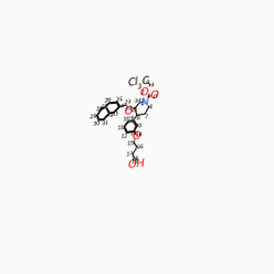 O=C(OCC(Cl)(Cl)Cl)N1CCC(c2cccc(OCCCCO)c2)C(OCc2ccc3ccccc3c2)C1